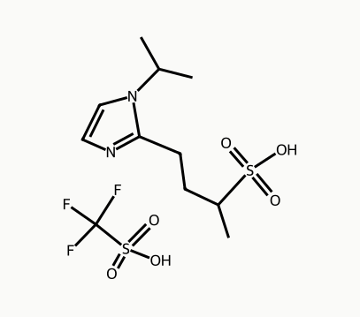 CC(C)n1ccnc1CCC(C)S(=O)(=O)O.O=S(=O)(O)C(F)(F)F